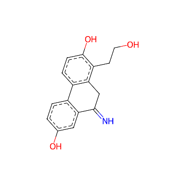 N=C1Cc2c(ccc(O)c2CCO)-c2ccc(O)cc21